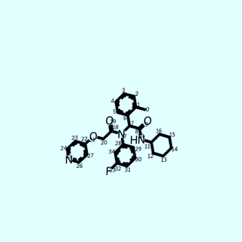 Cc1ccccc1C(C(=O)NC1CCCCC1)N(C(=O)COc1ccncc1)c1cccc(F)c1